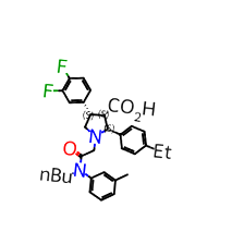 CCCCN(C(=O)CN1C[C@H](c2ccc(F)c(F)c2)[C@H](C(=O)O)[C@H]1c1ccc(CC)cc1)c1cccc(C)c1